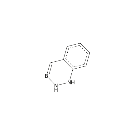 B1=Cc2ccccc2NN1